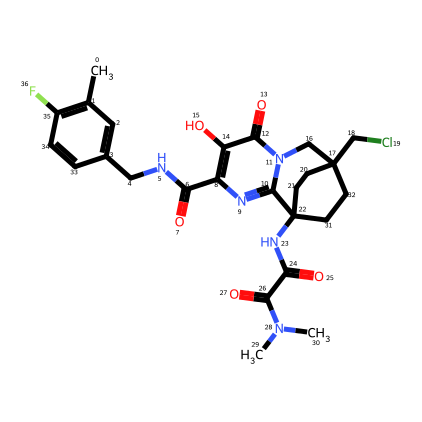 Cc1cc(CNC(=O)c2nc3n(c(=O)c2O)CC2(CCl)CCC3(NC(=O)C(=O)N(C)C)CC2)ccc1F